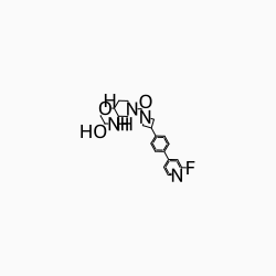 O=C(N1CC(c2ccc(-c3ccnc(F)c3)cc2)C1)N1CC[C@@H]2OCC(O)N[C@@H]2C1